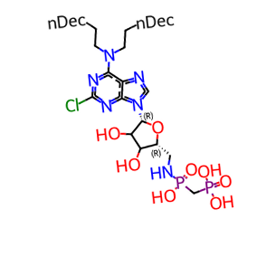 CCCCCCCCCCCCN(CCCCCCCCCCCC)c1nc(Cl)nc2c1ncn2[C@@H]1O[C@H](CNP(=O)(O)CP(=O)(O)O)C(O)C1O